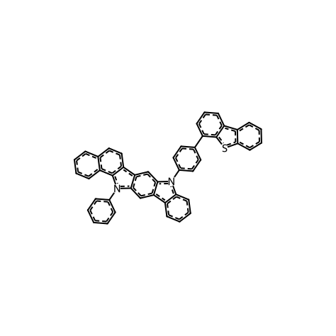 c1ccc(-n2c3cc4c5ccccc5n(-c5ccc(-c6cccc7c6sc6ccccc67)cc5)c4cc3c3ccc4ccccc4c32)cc1